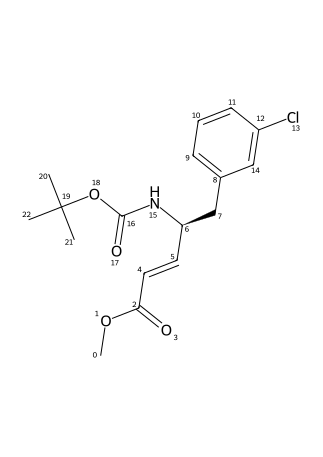 COC(=O)/C=C/[C@H](Cc1cccc(Cl)c1)NC(=O)OC(C)(C)C